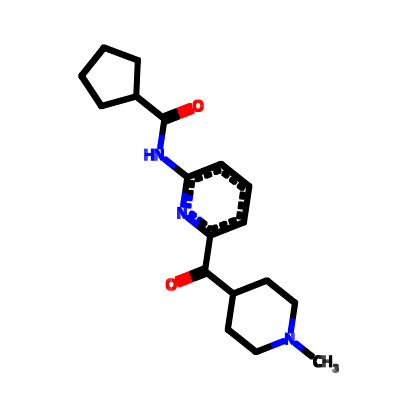 CN1CCC(C(=O)c2cccc(NC(=O)C3CCCC3)n2)CC1